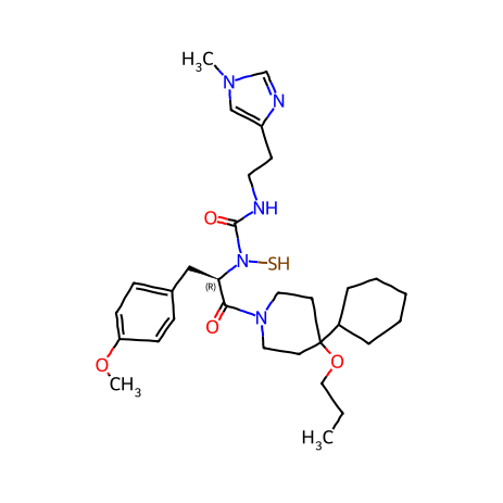 CCCOC1(C2CCCCC2)CCN(C(=O)[C@@H](Cc2ccc(OC)cc2)N(S)C(=O)NCCc2cn(C)cn2)CC1